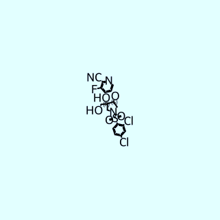 N#Cc1ncc(O[C@H]2CN(S(=O)(=O)c3ccc(Cl)cc3Cl)C[C@@]2(O)CO)cc1F